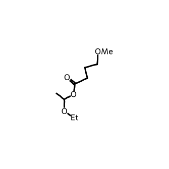 CCOC(C)OC(=O)CCCOC